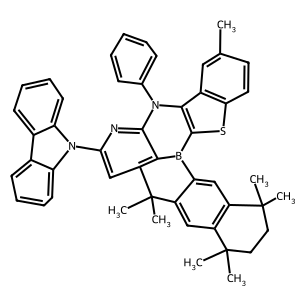 Cc1ccc2sc3c(c2c1)N(c1ccccc1)c1nc(-n2c4ccccc4c4ccccc42)cc2c1B3c1cc3c(cc1C2(C)C)C(C)(C)CCC3(C)C